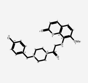 COc1ccc2ccc(=O)oc2c1OCC(=O)N1CCN(Cc2ccc(Cl)cc2)CC1